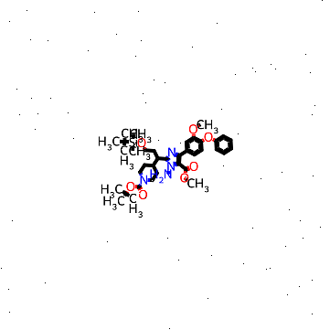 COC(=O)c1c(-c2ccc(Oc3ccccc3)c(OC)c2)nc(C(CCO[Si](C)(C)C(C)(C)C)C2CCN(C(=O)OC(C)(C)C)CC2)n1N